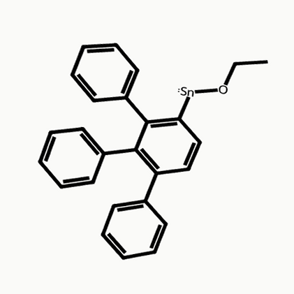 CC[O][Sn][c]1ccc(-c2ccccc2)c(-c2ccccc2)c1-c1ccccc1